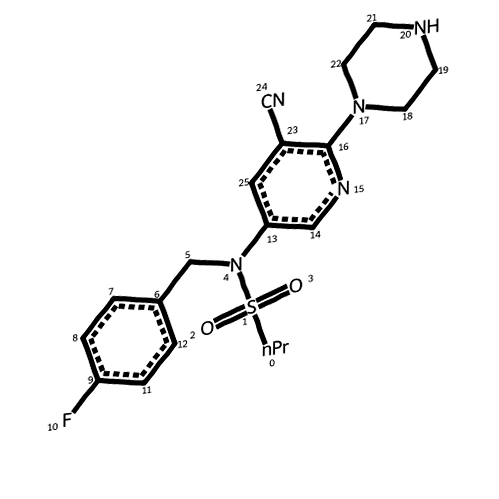 CCCS(=O)(=O)N(Cc1ccc(F)cc1)c1cnc(N2CCNCC2)c(C#N)c1